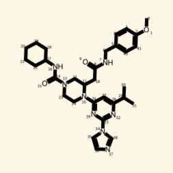 COc1ccc(CNC(=O)CC2CN(C(=O)NC3CCCCC3)CCN2c2cc(C(C)C)nc(-n3ccnc3)n2)cc1